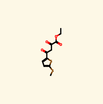 CCOC(=O)C(=O)CC(=O)c1ccc(SC)s1